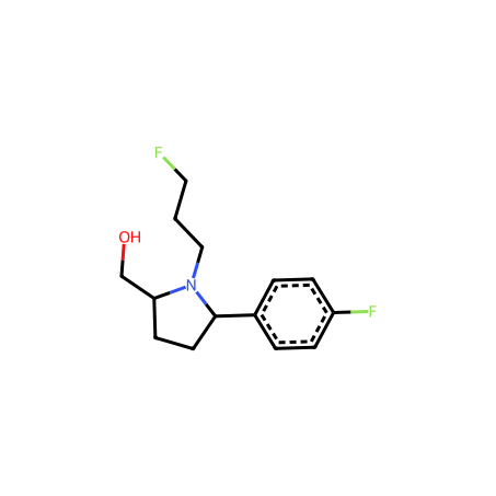 OCC1CCC(c2ccc(F)cc2)N1CCCF